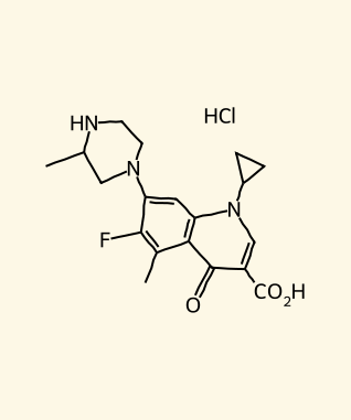 Cc1c(F)c(N2CCNC(C)C2)cc2c1c(=O)c(C(=O)O)cn2C1CC1.Cl